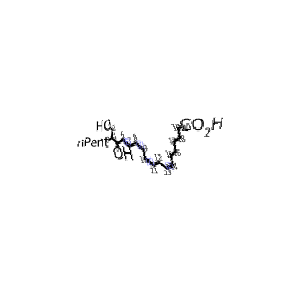 CCCCCC(CO)C(O)/C=C/C=C\C=C/C/C=C\CCCCCC(=O)O